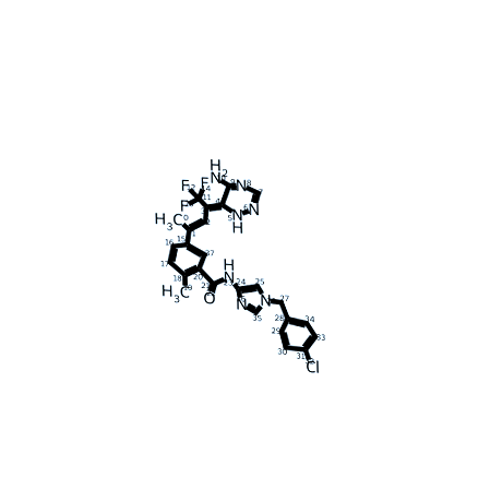 C/C(=C\C(=C1/NN=CN=C1N)C(F)(F)F)c1ccc(C)c(C(=O)Nc2cn(Cc3ccc(Cl)cc3)cn2)c1